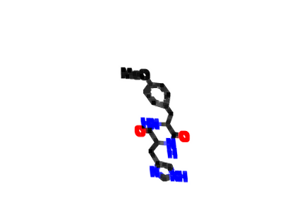 COc1ccc(CC2NC(=O)C(Cc3c[nH]cn3)NC2=O)cc1